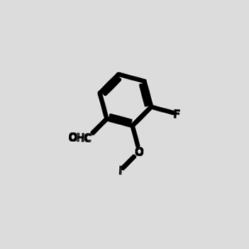 O=Cc1cccc(F)c1OI